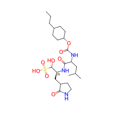 CCCC1CCC(OC(=O)NC(CC(C)C)C(=O)N[C@@H](CC2CCNC2=O)C(O)S(=O)(=O)O)CC1